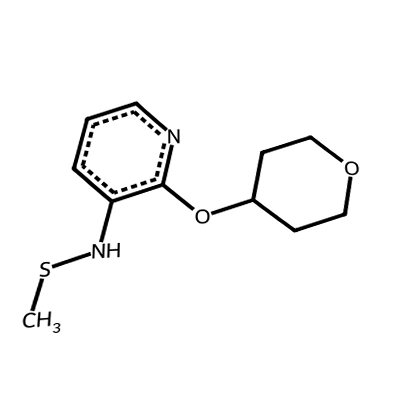 CSNc1cccnc1OC1CCOCC1